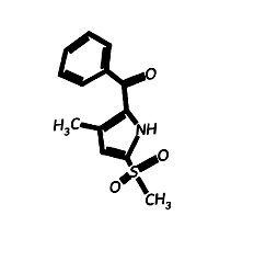 Cc1cc(S(C)(=O)=O)[nH]c1C(=O)c1ccccc1